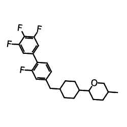 CC1CCC(C2CCC(Cc3ccc(-c4cc(F)c(F)c(F)c4)c(F)c3)CC2)OC1